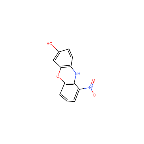 O=[N+]([O-])c1cccc2c1Nc1ccc(O)cc1O2